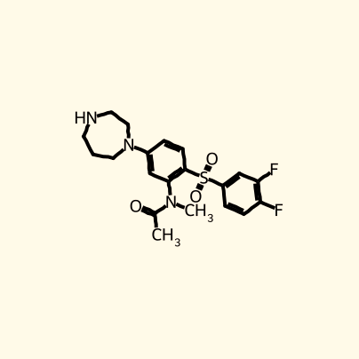 CC(=O)N(C)c1cc(N2CCCNCC2)ccc1S(=O)(=O)c1ccc(F)c(F)c1